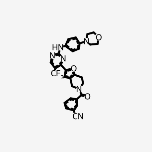 N#Cc1cccc(C(=O)N2CCc3oc(-c4nc(Nc5ccc(N6CCOCC6)cc5)ncc4C(F)(F)F)cc3C2)c1